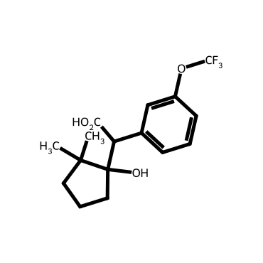 CC1(C)CCCC1(O)C(C(=O)O)c1cccc(OC(F)(F)F)c1